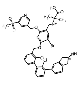 CC(C)(NCc1cc(Br)c(OCc2cccc(-c3cccc(-c4ccc5c(c4)C[C@@H](N)C5)c3Cl)c2Cl)nc1OCc1cncc(S(C)(=O)=O)c1)C(=O)O